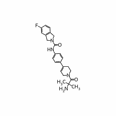 CC(C)(N)C(=O)N1CC=C(c2ccc(NC(=O)N3Cc4ccc(F)cc4C3)cc2)CC1